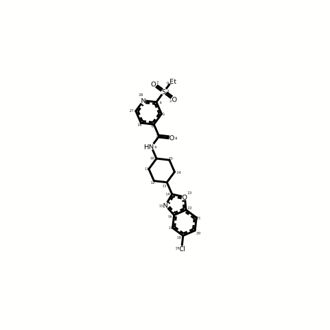 CCS(=O)(=O)c1cc(C(=O)NC2CCC(c3nc4cc(Cl)ccc4o3)CC2)ccn1